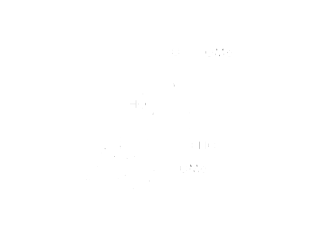 COC(=O)/C=C/c1cc(C=O)c(C(OC)=C2C3CC4CC2CC(C3)C4C)cc1O